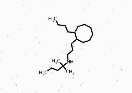 CCCCC1CCCCCCC1CCCNC(C)(C)CCC